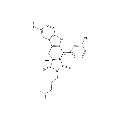 COc1ccc2[nH]c3c(c2c1)C[C@@]1(C)C(=O)N(CCCN(C)C)C(=O)N1[C@@H]3c1cccc(O)c1